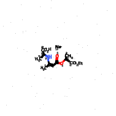 CCOC(=O)C(C)OC(=O)C=C(C)NC(C)C(=O)O.[Na]